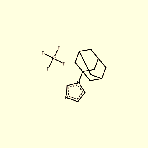 F[B-](F)(F)F.c1cn(C23CC4CC(CC(C4)C2)C3)cn1